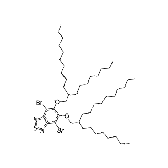 CCCCCCCCCCC(CCCCCCCC)COc1c(OCC(CCCCCCCC)CCCCCCCCCC)c(Br)c2nsnc2c1Br